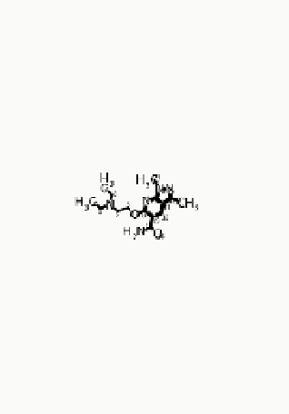 CCN(CC)CCOc1nc2c(cc1C(N)=O)c(C)nn2C